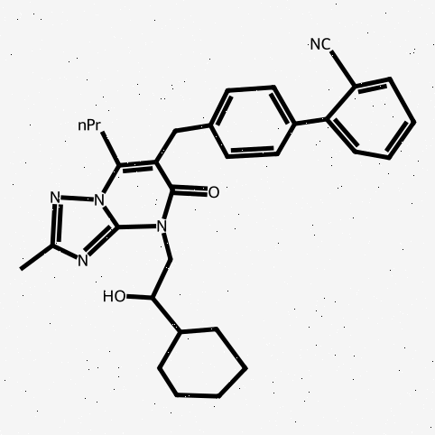 CCCc1c(Cc2ccc(-c3ccccc3C#N)cc2)c(=O)n(CC(O)C2CCCCC2)c2nc(C)nn12